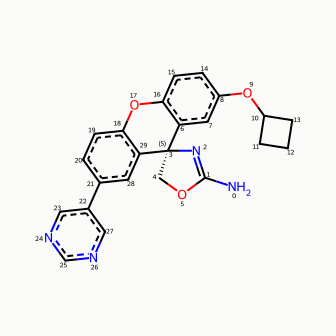 NC1=N[C@]2(CO1)c1cc(OC3CCC3)ccc1Oc1ccc(-c3cncnc3)cc12